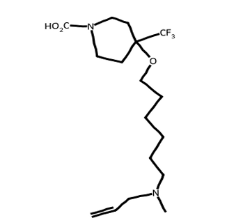 C=CCN(C)CCCCCCOC1(C(F)(F)F)CCN(C(=O)O)CC1